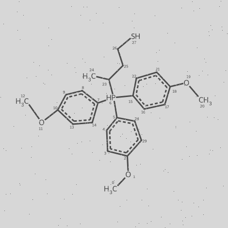 COc1ccc([PH](c2ccc(OC)cc2)(c2ccc(OC)cc2)C(C)CCS)cc1